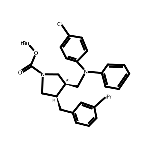 CC(C)c1cccc(C[C@H]2CN(C(=O)OC(C)(C)C)C[C@H]2CN(c2ccccc2)c2ccc(Cl)cc2)c1